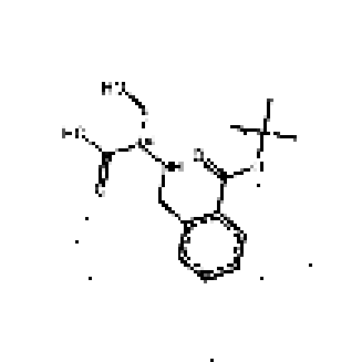 CC(C)(C)OC(=O)c1ccccc1CN[C@@H](CO)C(=O)O